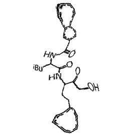 CCC(C)C(NC(=O)c1ccc2ccccc2c1)C(=O)NC(CCc1ccccc1)C(=O)CO